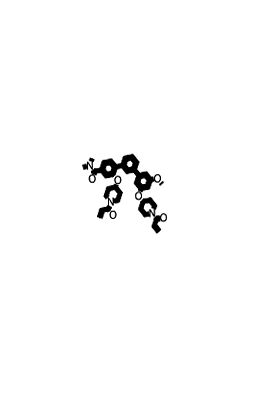 C=CC(=O)N1CCC(Oc2cc(OC)cc(-c3cccc(-c4ccc(C(=O)N(C)C)cc4OC4CCN(C(=O)C=C)CC4)c3)c2)CC1